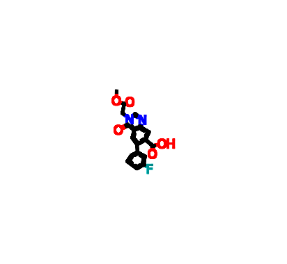 COC(=O)Cn1cnc2cc(C(=O)O)c(-c3cccc(F)c3)cc2c1=O